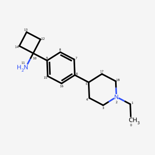 CCN1CCC(c2ccc(C3(N)CCC3)cc2)CC1